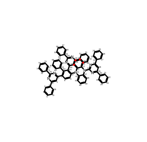 c1ccc(-c2cc(-c3ccc(N4c5ccccc5N(c5nc(-c6ccccc6)cc(-c6ccccc6)n5)c5ccccc54)c(-c4cc(-c5ccccc5)nc(-c5ccccc5)n4)c3-c3ccccc3)nc(-c3ccccc3)n2)cc1